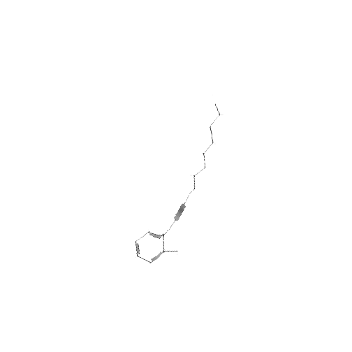 Cc1ccccc1C#CCCCCCCCO